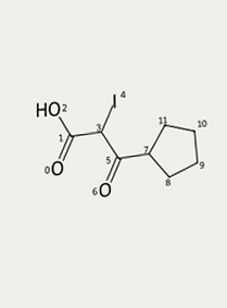 O=C(O)C(I)C(=O)C1CCCC1